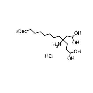 CCCCCCCCCCCCCCCCCC(N)(CCC(O)O)CC(O)O.Cl